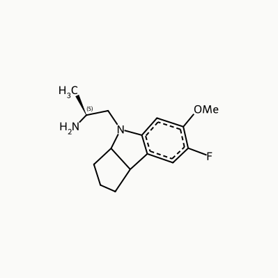 COc1cc2c(cc1F)C1CCCC1N2C[C@H](C)N